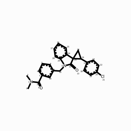 CN(C)C(=O)c1cccc(CN2C(=O)C3(CC3c3ccc(Cl)cc3)c3ccccc32)c1